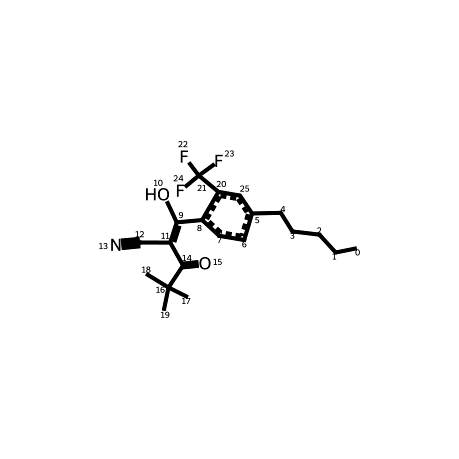 CCCCCc1ccc(C(O)=C(C#N)C(=O)C(C)(C)C)c(C(F)(F)F)c1